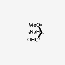 COCC=O.[NaH]